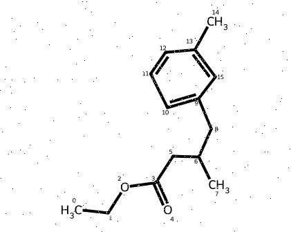 CCOC(=O)CC(C)Cc1cccc(C)c1